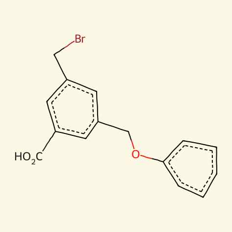 O=C(O)c1cc(CBr)cc(COc2ccccc2)c1